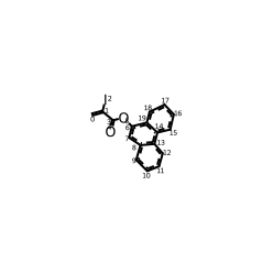 C=C(I)C(=O)Oc1cc2ccccc2c2ccccc12